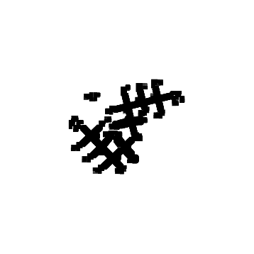 O=S(=O)([N-]S(=O)(=O)C(F)(F)C(F)(F)C(F)(F)C(F)(F)F)C(F)(F)C(F)(F)C(F)(F)C(F)(F)F.[Li+]